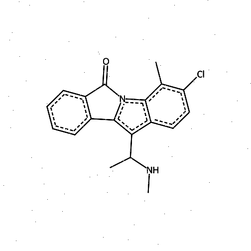 CNC(C)c1c2n(c3c(C)c(Cl)ccc13)C(=O)c1ccccc1-2